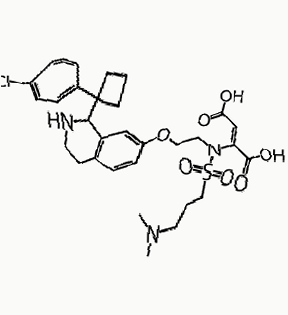 CN(C)CCCS(=O)(=O)N(CCOc1ccc2c(c1)C(C1(c3ccc(Cl)cc3)CCC1)NCC2)/C(=C\C(=O)O)C(=O)O